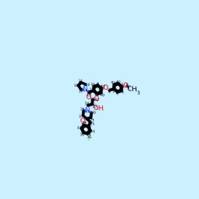 COc1ccc(COc2ccc(C(=O)N3CCCC3)c(OC[C@@H](O)CN3CCC4(CC3)Cc3cc(F)ccc3O4)c2)cc1